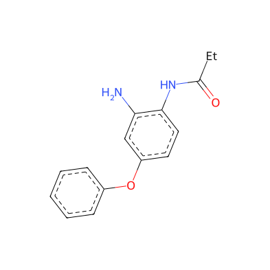 CCC(=O)Nc1ccc(Oc2ccccc2)cc1N